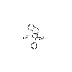 Oc1c(-c2ccccc2)sc2[n+]1CCc1ccccc1-2.[OH-]